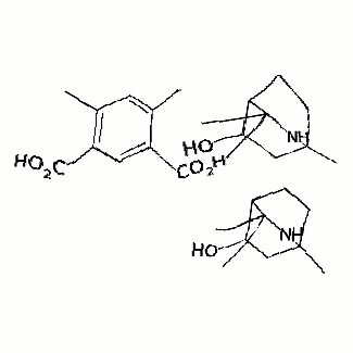 CC12CCC(C(O)C1)C(C)(C)N2.CC12CCC(C(O)C1)C(C)(C)N2.Cc1cc(C)c(C(=O)O)cc1C(=O)O